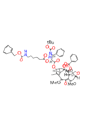 CO[C@H]1C(=O)[C@]2(C)[C@@H](OC)C[C@H]3OC[C@@]3(OC(C)=O)[C@H]2[C@H](OC(=O)c2ccccc2)[C@]2(O)C[C@H](OC(=O)[C@H](OC(=O)CCCCCNC(=O)OCc3ccccc3)[C@@H](NC(=O)OC(C)(C)C)c3ccccc3)C(C)=C1C2(C)C